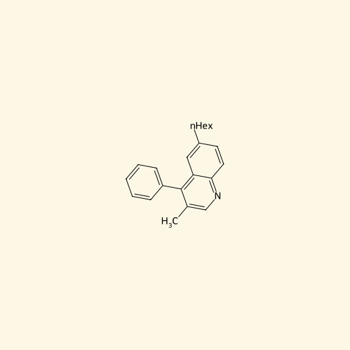 CCCCCCc1ccc2ncc(C)c(-c3ccccc3)c2c1